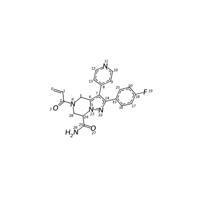 C=CC(=O)N1Cc2c(-c3ccncc3)c(-c3ccc(F)cc3)nn2C(C(N)=O)C1